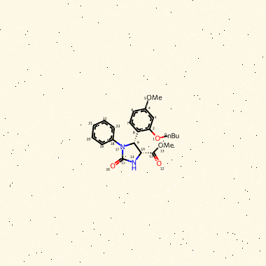 CCCCOc1cc(OC)ccc1[C@@H]1[C@H](C(=O)OC)NC(=O)N1c1ccccc1